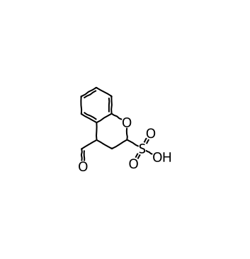 O=CC1CC(S(=O)(=O)O)Oc2ccccc21